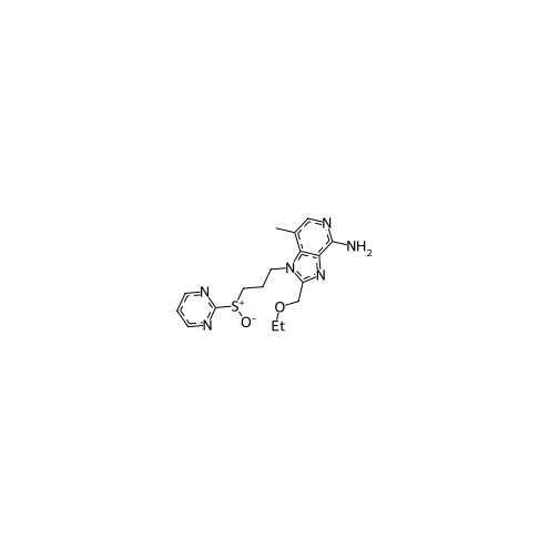 CCOCc1nc2c(N)ncc(C)c2n1CCC[S+]([O-])c1ncccn1